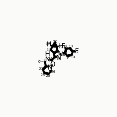 C[C@H](NC(=O)c1nn(-c2ccc(F)cc2F)c2c1C[C@@H]1C[C@H]21)c1ccccn1